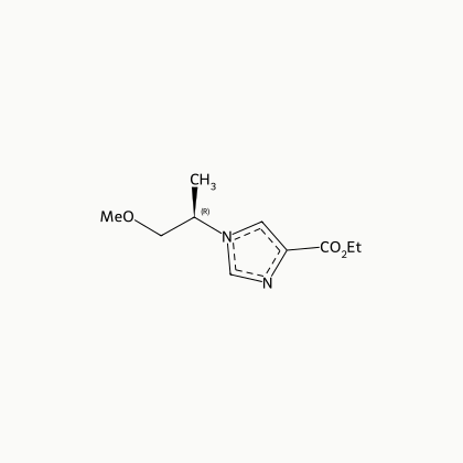 CCOC(=O)c1cn([C@H](C)COC)cn1